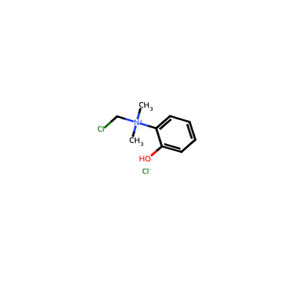 C[N+](C)(CCl)c1ccccc1O.[Cl-]